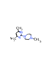 Cc1cc(C)nc(N2CCN(C)CC2)n1